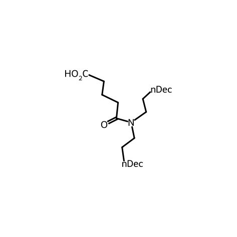 CCCCCCCCCCCCN(CCCCCCCCCCCC)C(=O)CCCC(=O)O